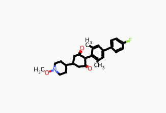 CON1CCC(C2CC(=O)C(c3c(C)cc(-c4ccc(F)cc4)cc3C)C(=O)C2)CC1